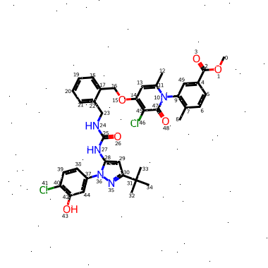 COC(=O)c1ccc(C)c(-n2c(C)cc(OCc3ccccc3CNC(=O)Nc3cc(C(C)(C)C)nn3-c3ccc(Cl)c(O)c3)c(Cl)c2=O)c1